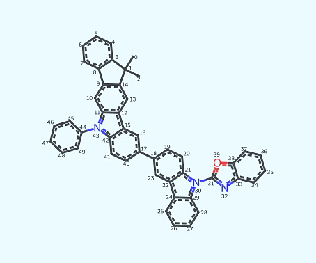 CC1(C)c2ccccc2-c2cc3c(cc21)c1cc(-c2ccc4c(c2)c2ccccc2n4-c2nc4ccccc4o2)ccc1n3-c1ccccc1